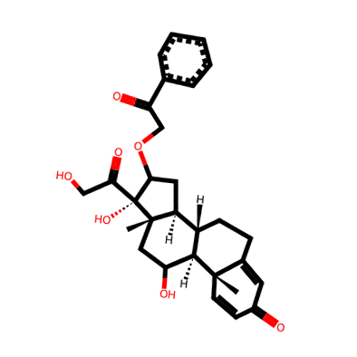 C[C@]12C=CC(=O)C=C1CC[C@@H]1[C@@H]2C(O)C[C@@]2(C)[C@H]1CC(OCC(=O)c1ccccc1)[C@]2(O)C(=O)CO